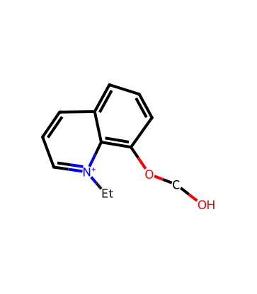 [CH2]C[n+]1cccc2cccc(OCO)c21